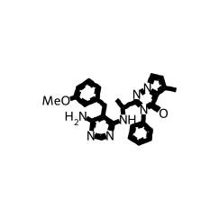 COc1cccc(Cc2c(N)ncnc2NC(C)c2nn3ccc(C)c3c(=O)n2-c2ccccc2)c1